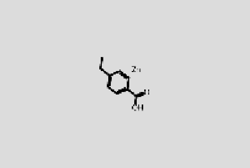 CCc1ccc(C(=O)O)cc1.[Zn]